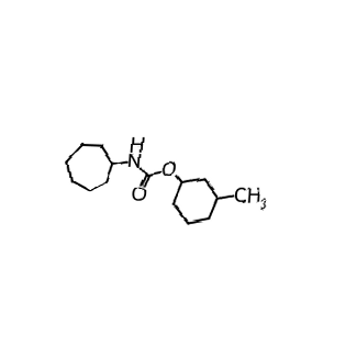 CC1CCCC(OC(=O)NC2CCCCCC2)C1